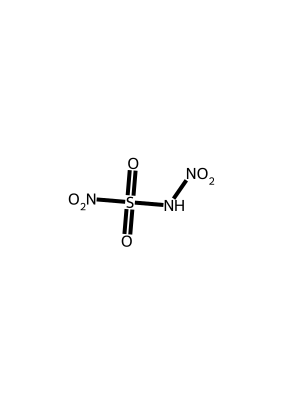 O=[N+]([O-])NS(=O)(=O)[N+](=O)[O-]